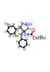 CC(C)(C)OC(=O)N[C@@]1(Cc2ccccc2)CNC[C@@H]1c1cc(F)ccc1F